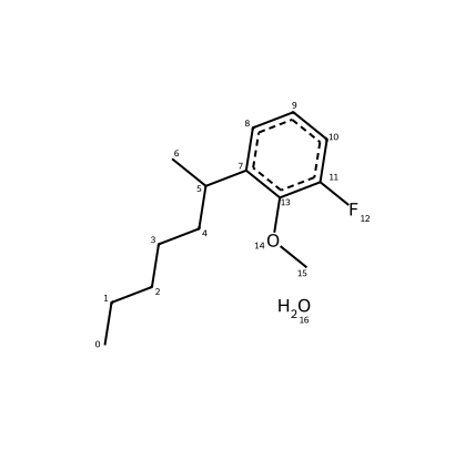 CCCCCC(C)c1cccc(F)c1OC.O